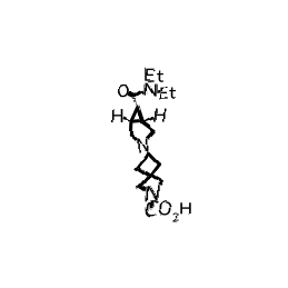 CCN(CC)C(=O)[C@@H]1[C@@H]2CN(C3CC4(C3)CN(C(=O)O)C4)C[C@@H]21